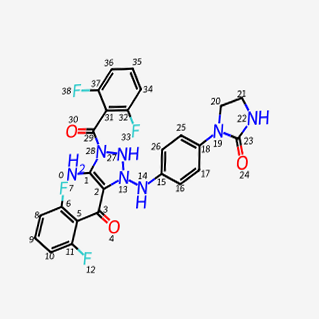 NC1=C(C(=O)c2c(F)cccc2F)N(Nc2ccc(N3CCNC3=O)cc2)NN1C(=O)c1c(F)cccc1F